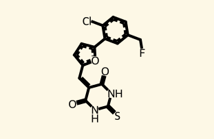 O=C1NC(=S)NC(=O)C1=Cc1ccc(-c2cc(CF)ccc2Cl)o1